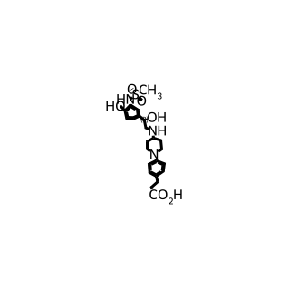 CS(=O)(=O)Nc1cc([C@@H](O)CNC2CCN(c3ccc(CCC(=O)O)cc3)CC2)ccc1O